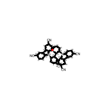 N#Cc1ccc(-n2c3ccc(C#N)cc3c3cc(C#N)ccc32)c(-c2ncccc2-n2c3ccc(C#N)cc3c3cc(C#N)ccc32)c1